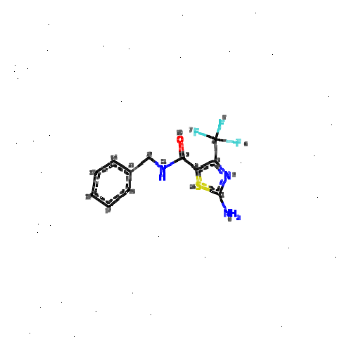 Nc1nc(C(F)(F)F)c(C(=O)NCc2ccccc2)s1